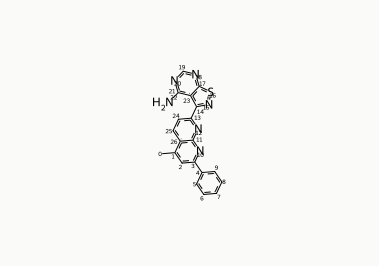 Cc1cc(-c2ccccc2)nc2nc(-c3nsc4ncnc(N)c34)ccc12